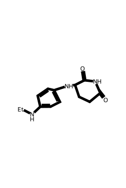 CCNc1ccc(NC2CCC(=O)NC2=O)cc1